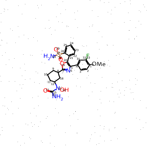 COc1ccc(-c2nc(C3CCCC(N(O)C(N)=O)C3)oc2-c2ccccc2S(N)(=O)=O)cc1F